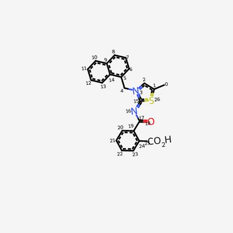 Cc1cn(Cc2cccc3ccccc23)c(=NC(=O)c2ccccc2C(=O)O)s1